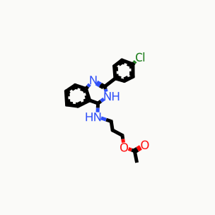 CC(=O)OCCCNC1NC(c2ccc(Cl)cc2)=Nc2ccccc21